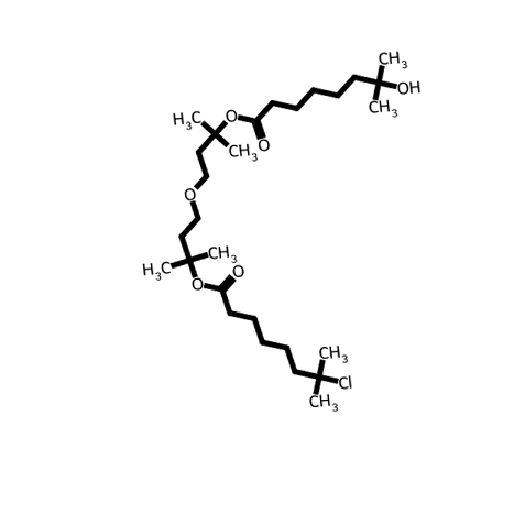 CC(C)(O)CCCCCC(=O)OC(C)(C)CCOCCC(C)(C)OC(=O)CCCCCC(C)(C)Cl